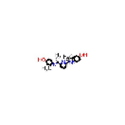 C/C(=N\c1ccc(O)cc1C)c1cccc(/C(C)=N/c2ccc(O)cc2C)n1